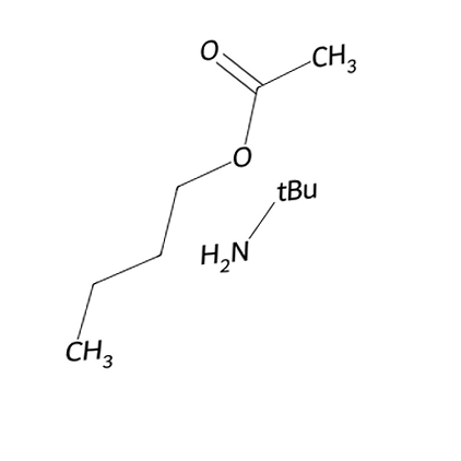 CC(C)(C)N.CCCCOC(C)=O